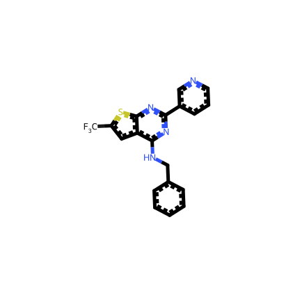 FC(F)(F)c1cc2c(NCc3ccccc3)nc(-c3cccnc3)nc2s1